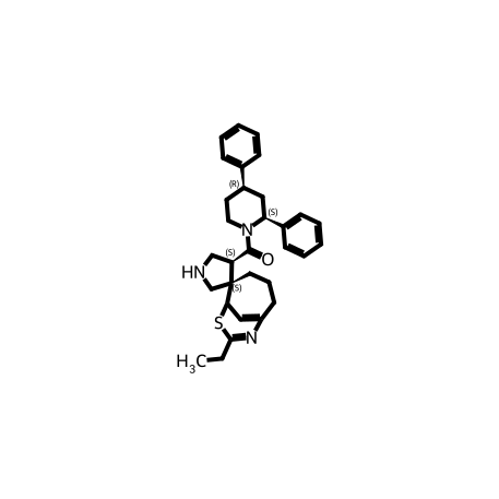 CCC1=NC2=CC(S1)[C@]1(CCC2)CNC[C@H]1C(=O)N1CC[C@@H](c2ccccc2)C[C@H]1c1ccccc1